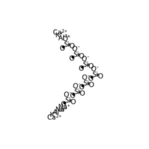 O=[Si]([O-])[O-].O=[Si]([O-])[O-].O=[Si]([O-])[O-].O=[Si]([O-])[O-].O=[Si]([O-])[O-].O=[Si]([O-])[O-].O=[Si]([O-])[O-].[Al+3].[Al+3].[Ca+2].[Ca+2].[K+].[K+].[Na+].[Na+]